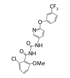 COc1cccc(Cl)c1C(=O)NC(=O)Nc1ccc(Oc2cccc(C(F)(F)F)c2)nc1